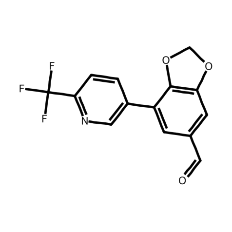 O=Cc1cc2c(c(-c3ccc(C(F)(F)F)nc3)c1)OCO2